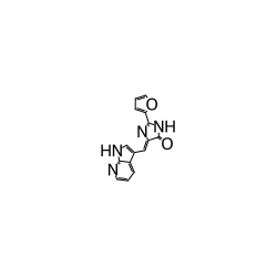 O=C1NC(c2ccco2)=NC1=Cc1c[nH]c2ncccc12